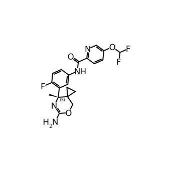 C[C@]1(c2cc(NC(=O)c3ccc(OC(F)F)cn3)ccc2F)N=C(N)OCC12CC2